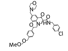 COCOCc1ccc(C2Cn3cc(C(=O)NCc4ccc(Cl)cc4)c(=O)c4cc(CN5CCOCC5)cc(c43)O2)cc1